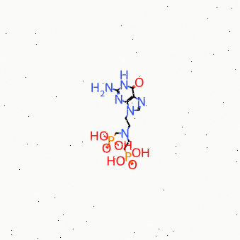 Nc1nc2c(ncn2CCN(CCP(=O)(O)O)CP(=O)(O)O)c(=O)[nH]1